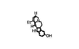 CCC1C[C@H]2C[C@H]3c4[nH]c5ccc(O)cc5c4CCN(C2)C13